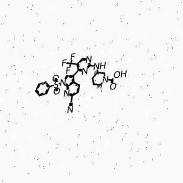 C[C@@H]1CC[C@@H](Nc2ncc(C(F)(F)F)c(-c3cn(S(=O)(=O)c4ccccc4)c4nc(C#N)ccc34)n2)CN1C(=O)O